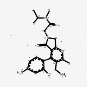 Cc1nc2c(c(-c3ccc(N)cc3Cl)c1CN)C(=O)N(CC(=O)N(C)C(C)C)C2